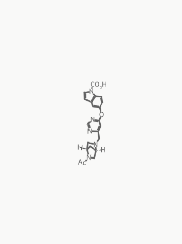 CC(=O)N1C[C@H]2C[C@H]1CN2Cc1cc(Oc2ccc3c(ccn3C(=O)O)c2)ncn1